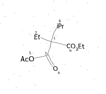 CCOC(=O)C(CC)(C(=O)OC(C)=O)C(C)C